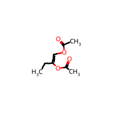 CCC(=COC(C)=O)OC(C)=O